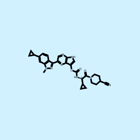 Cn1nc(-c2cnc3[nH]cc(OC(=O)N[C@@H](C(=O)N4CCC(C#N)CC4)C4CC4)c3n2)c2ccc(C3CC3)cc21